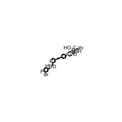 CC(C)[C@@H](NS(=O)(=O)N1CCN(c2ccc(C#Cc3ccnc(C(=O)NCc4ccc(F)c(Br)c4)c3)cc2)CC1)C(=O)O